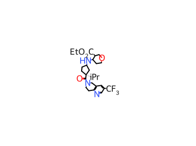 CCOC(=O)C1COCCC1N[C@@H]1CC[C@@](C(=O)N2CCc3ncc(C(F)(F)F)cc3C2)(C(C)C)C1